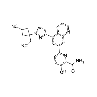 N#CCC1(n2ccc(-c3nc(-c4ccc(O)c(C(N)=O)n4)cc4ncccc34)n2)CC(C#N)C1